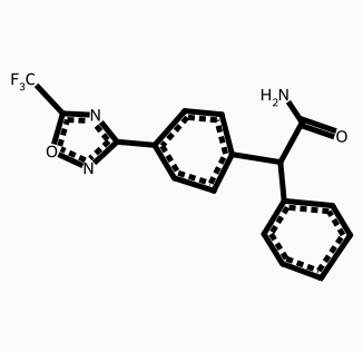 NC(=O)C(c1ccccc1)c1ccc(-c2noc(C(F)(F)F)n2)cc1